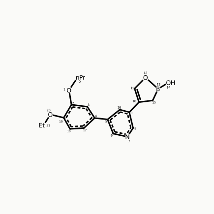 CCCOc1cc(-c2cncc(C3=COB(O)C3)c2)ccc1OCC